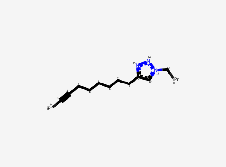 CC(C)C#CCCCCCCc1cn(CC(C)C)nn1